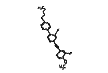 CCCCCc1ccc(-c2ccc(C#Cc3ccc(OC)c(F)c3)cc2F)cc1